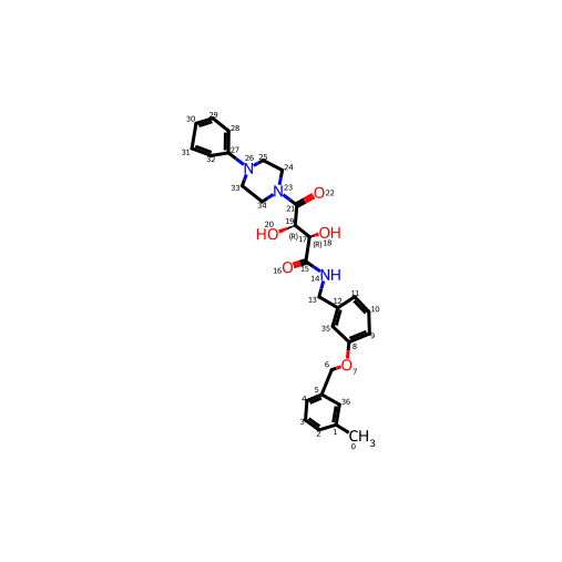 Cc1cccc(COc2cccc(CNC(=O)[C@H](O)[C@@H](O)C(=O)N3CCN(c4ccccc4)CC3)c2)c1